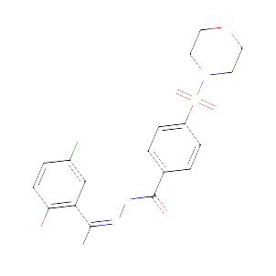 CC(=NNC(=O)c1ccc(S(=O)(=O)N2CCOCC2)cc1)c1cc(Cl)ccc1O